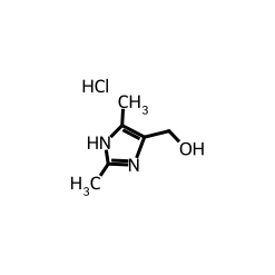 Cc1nc(CO)c(C)[nH]1.Cl